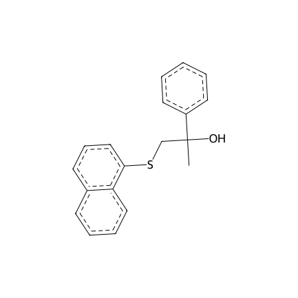 CC(O)(CSc1cccc2ccccc12)c1ccccc1